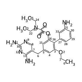 CCOc1cc(Cc2cnc(N)nc2N)cc(OS(=O)(=O)N(CC)CC)c1-c1cccc(N)c1